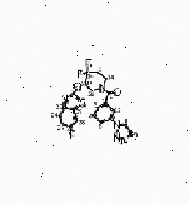 O=C(c1cccc(-n2ccnn2)c1)N1CCC(F)(F)[C@@H](Oc2nc3ccc(F)cc3s2)C1